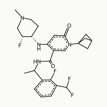 CC(NC(=O)c1cn(C23CC(C2)C3)c(=O)cc1N[C@H]1CCN(C)C[C@H]1F)c1cccc(C(F)F)c1F